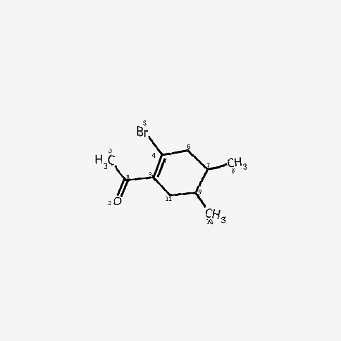 CC(=O)C1=C(Br)CC(C)C(C)C1